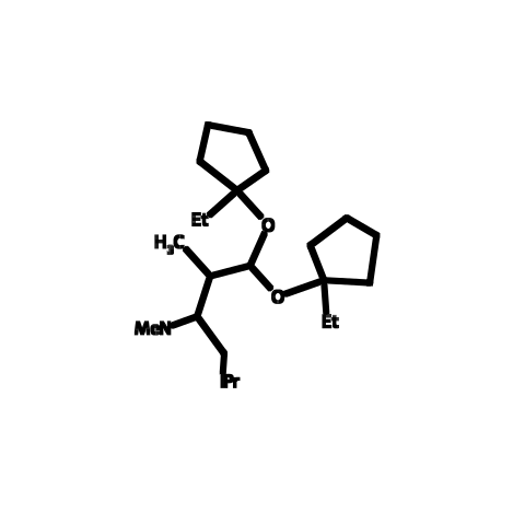 CCC1(OC(OC2(CC)CCCC2)C(C)C(CC(C)C)NC)CCCC1